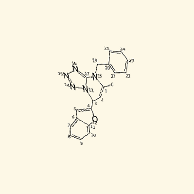 CC1=CC(c2cc3ccccc3o2)n2nnnc2N1Cc1ccccc1